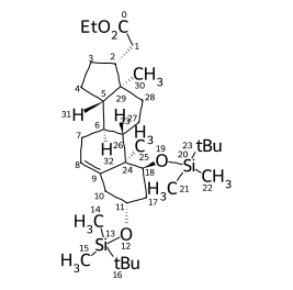 CCOC(=O)C[C@H]1CC[C@H]2[C@@H]3CC=C4C[C@@H](O[Si](C)(C)C(C)(C)C)C[C@H](O[Si](C)(C)C(C)(C)C)[C@]4(C)[C@H]3CC[C@]12C